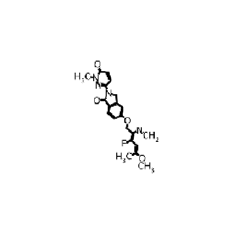 C=N/C(COc1ccc2c(c1)CN(c1ccc(=O)n(C)n1)C2=O)=C(F)\C=C(/C)OC